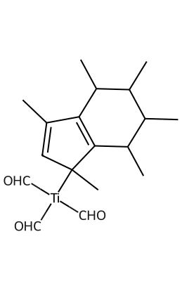 CC1=C[C](C)([Ti]([CH]=O)([CH]=O)[CH]=O)C2=C1C(C)C(C)C(C)C2C